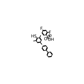 Cc1cc(C)c(S)c(C)c1.O=S(=O)(O)c1ccc(F)cc1F.c1ccc(-c2ccccc2)cc1